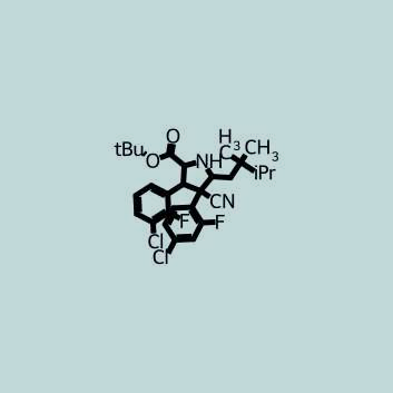 CC(C)C(C)(C)CC1NC(C(=O)OC(C)(C)C)C(c2cccc(Cl)c2F)C1(C#N)c1ccc(Cl)cc1F